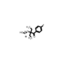 CCC(CC)(O[PH](=O)O)C(=O)c1ccc(F)cc1